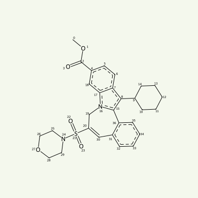 COC(=O)c1ccc2c(C3CCCCC3)c3n(c2c1)CC(S(=O)(=O)N1CCOCC1)=Cc1ccccc1-3